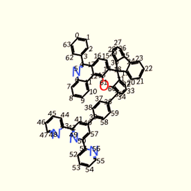 c1ccc(-c2nc3ccccc3c3c4c(ccc23)C2(c3ccccc3-c3ccccc32)c2cccc(-c3ccc(-c5cc(-c6ccccn6)nc(-c6ccccn6)c5)cc3)c2O4)cc1